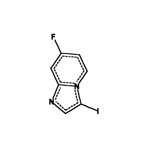 Fc1ccn2c(I)cnc2c1